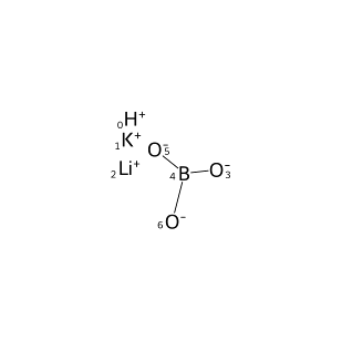 [H+].[K+].[Li+].[O-]B([O-])[O-]